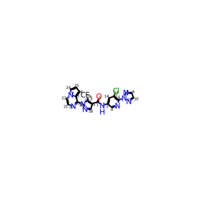 O=C(Nc1cnc(-n2nccn2)c(Cl)c1)c1cnn(-c2nccn3cccc23)c1C(F)(F)F